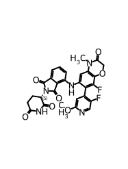 COc1cc(-c2c(Nc3cccc4c3C(=O)N([C@H]3CCC(=O)NC3=O)C4=O)cc3c(c2F)OCC(=O)N3C)c(F)cn1